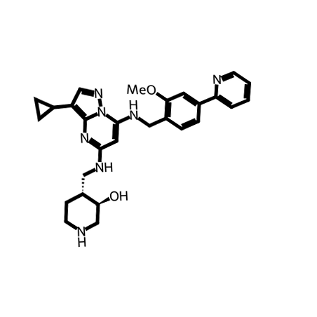 COc1cc(-c2ccccn2)ccc1CNc1cc(NC[C@H]2CCNC[C@@H]2O)nc2c(C3CC3)cnn12